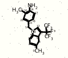 CC1=CC=C2C(C1)C(C(F)(C(F)(F)F)C(F)(F)F)=CN2Cc1ccc(N)c(C)c1